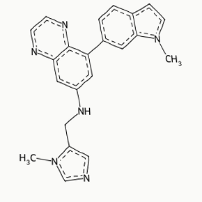 Cn1cncc1CNc1cc(-c2ccc3ccn(C)c3c2)c2nccnc2c1